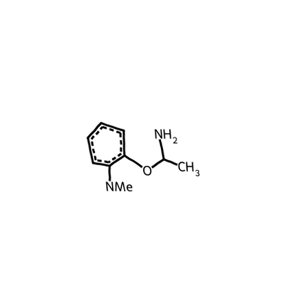 CNc1ccccc1OC(C)N